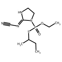 CCOP(=O)(SC(C)CC)N1CCNC1=NC#N